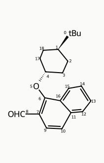 CC(C)(C)[C@H]1CC[C@H](Oc2c(C=O)ccc3ccccc23)CC1